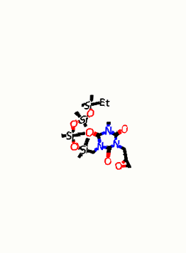 CC[Si](C)(C)O[Si](C)(C)O[Si](C)(C)O[Si](C)(C)Cn1c(=O)n(C)c(=O)n(CC2CO2)c1=O